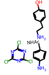 CC(=O)Nc1ccc(N)cc1.Clc1nc(Cl)nc(Cl)n1.NCCc1ccc(O)cc1